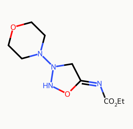 CCOC(=O)/N=C1/CN(N2CCOCC2)NO1